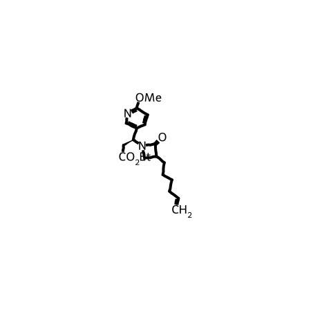 C=CCCCCC1CN([C@@H](CC(=O)OCC)c2ccc(OC)nc2)C1=O